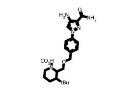 CC(C)(C)C1CCCN(C(=O)O)C1COCc1ccc(-n2cc(N)c(C(N)=O)n2)cc1